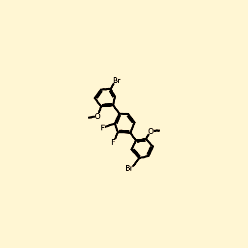 COc1ccc(Br)cc1-c1ccc(-c2cc(Br)ccc2OC)c(F)c1F